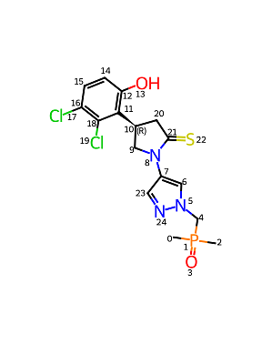 CP(C)(=O)Cn1cc(N2C[C@@H](c3c(O)ccc(Cl)c3Cl)CC2=S)cn1